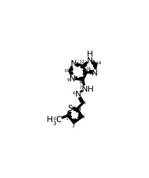 Cc1ccc(/C=N/Nc2ncnc3[nH]cnc23)s1